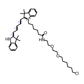 CC1(C)C(/C=C/C=C/C=C2/Nc3ccccc3C2(C)C)=[N+](CCCCCC(=O)NCCOCCOCCCCCCCl)c2ccccc21